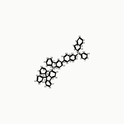 c1ccc(N(c2ccc3ccccc3c2)c2ccc3cc(-c4ccc5c(c4)c4ccccc4n5-c4ccc5c(c4)C(c4ccccc4)(c4ccccc4)c4ccccc4-5)ccc3c2)cc1